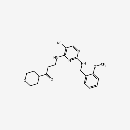 N#Cc1cnc(NCc2ccccc2OC(F)(F)F)nc1NCCC(=O)N1CCOCC1